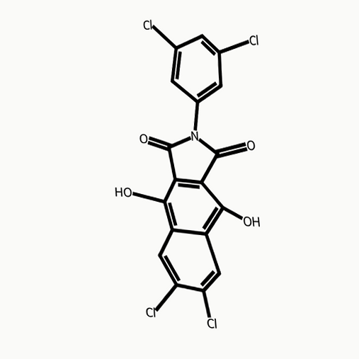 O=C1c2c(c(O)c3cc(Cl)c(Cl)cc3c2O)C(=O)N1c1cc(Cl)cc(Cl)c1